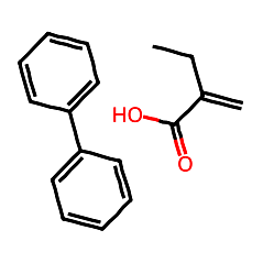 C=C(CC)C(=O)O.c1ccc(-c2ccccc2)cc1